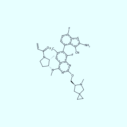 C=CC(=O)N1CC[C@@H](N(C)c2nc(OC[C@@H]3CC4(CC4)CN3C)nc3c(F)c(-c4ccc(F)c5sc(N)c(C#N)c45)c(C(F)(F)F)cc23)[C@H]1C